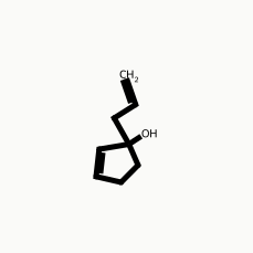 C=CCC1(O)C=CCC1